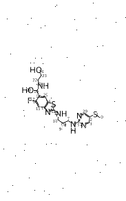 CSc1cnc(NC[C@H](C)CNc2nc3cc(F)c(C(O)NCCO)cc3s2)nc1